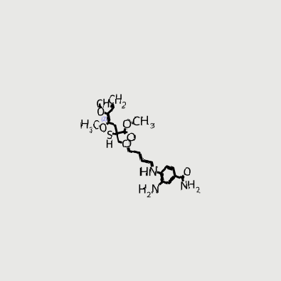 C=C/C(OC)=C(\CC(S)(COCCCCNc1ccc(C(N)=O)cc1N)C(=O)OC)OC